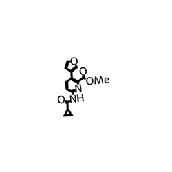 COC(=O)c1nc(NC(=O)C2CC2)ccc1-c1ccoc1